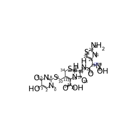 Cn1cc(O)c(=O)nc1SCC1=C(C(=O)O)N2C(=O)[C@@H](NC(=O)/C(=N\O)c3csc(N)n3)[C@H]2SC1